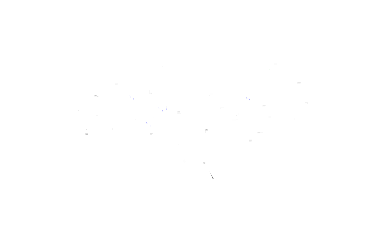 CC(C)[C@H](C)Oc1cc(-n2nc3n(c2=O)CCC2(CC2)C3)c(F)cc1C(=O)Nc1c(F)cccc1Cl